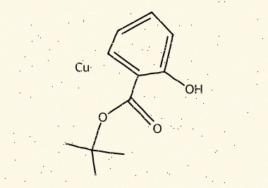 CC(C)(C)OC(=O)c1ccccc1O.[Cu]